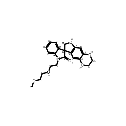 COCCOCCN1C(=O)C2(COc3cc4c(cc32)OCCO4)c2ccccc21